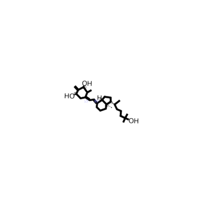 C=C1[C@H](O)C/C(=C/C=C2\CCC[C@]3(C)[C@@H](C(C)CCCC(C)(C)O)CC[C@@H]23)C(C)[C@H]1O